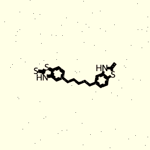 C=C1Nc2cc(CCCCCc3ccc4sc(=S)[nH]c4c3)ccc2S1